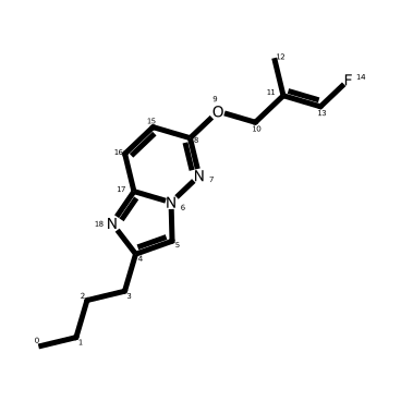 CCCCc1cn2nc(OC/C(C)=C/F)ccc2n1